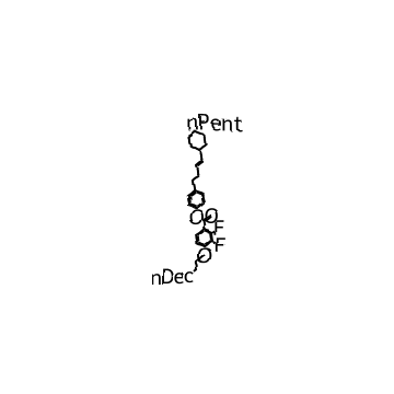 CCCCCCCCCCCCOc1ccc(C(=O)Oc2ccc(CCC=CC3CCC(CCCCC)CC3)cc2)c(F)c1F